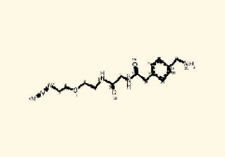 [N-]=[N+]=NCCOCCNC(=O)CNC(=O)Cc1ccc(CN)cc1